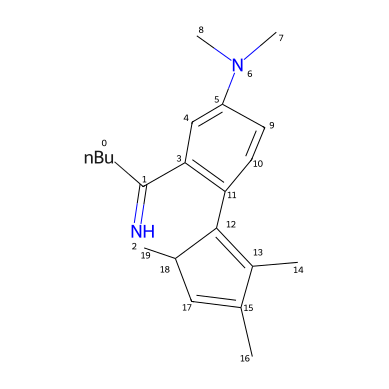 CCCCC(=N)c1cc(N(C)C)ccc1C1=C(C)C(C)=CC1C